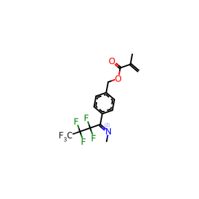 C=C(C)C(=O)OCc1ccc(/C(=N/C)C(F)(F)C(F)(F)C(F)(F)F)cc1